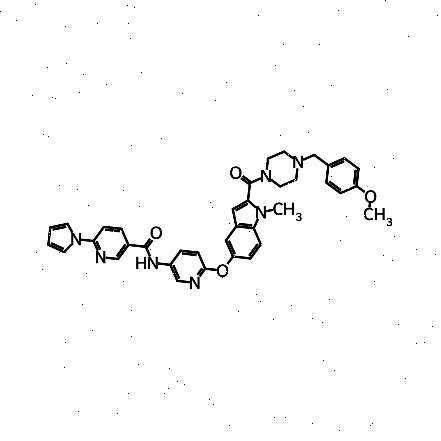 COc1ccc(CN2CCN(C(=O)c3cc4cc(Oc5ccc(NC(=O)c6ccc(-n7cccc7)nc6)cn5)ccc4n3C)CC2)cc1